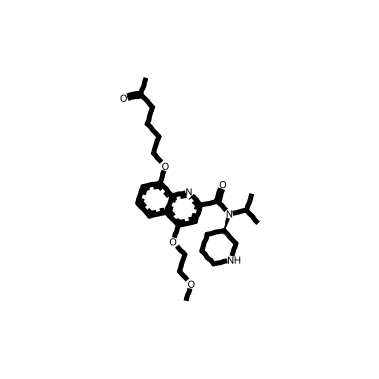 COCCOc1cc(C(=O)N(C(C)C)[C@@H]2CCCNC2)nc2c(OCCCCC(C)=O)cccc12